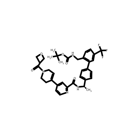 C[C@@H](NC(=O)c1cc(C2=CCN(C(=O)C3COC3)CC2)ccn1)c1ccc(-c2cc(C(F)(F)F)ccc2CNC(=O)OC(C)(C)C)cc1